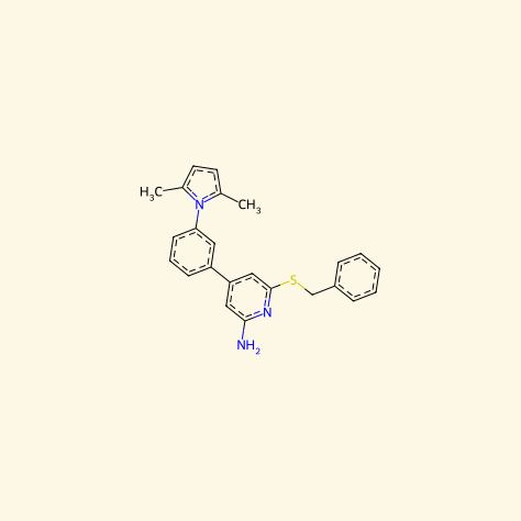 Cc1ccc(C)n1-c1cccc(-c2cc(N)nc(SCc3ccccc3)c2)c1